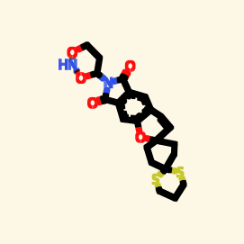 O=C1c2cc3c(cc2C(=O)N1C1CCONO1)OC1(C=C3)CCC2(CC1)SCCCS2